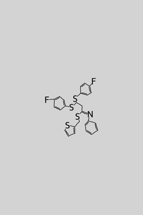 Fc1ccc(SC(CC(=Nc2ccccc2)SCc2cccs2)Sc2ccc(F)cc2)cc1